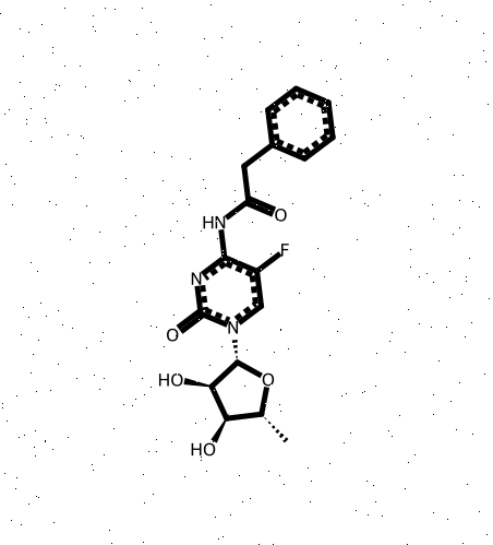 C[C@H]1O[C@@H](n2cc(F)c(NC(=O)Cc3ccccc3)nc2=O)[C@H](O)[C@@H]1O